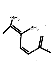 B/C(C)=C(B)/C=C\C(=C)C